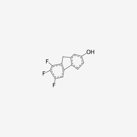 Oc1ccc2c(c1)Cc1c-2cc(F)c(F)c1F